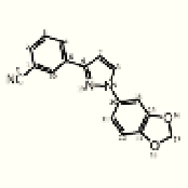 N#Cc1cccc(-c2ccn(-c3ccc4c(c3)OCO4)n2)c1